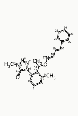 Cc1cccc(-n2nnn(C)c2=O)c1C(C)ON=CC=Cc1ccccc1